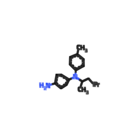 Cc1ccc(N(c2ccc(N)cc2)C(C)CC(C)C)cc1